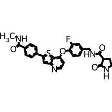 CNC(=O)c1ccc(-c2cc3nccc(Oc4ccc(CNC(=O)C5CCNC5=O)cc4F)c3s2)cc1